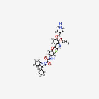 COc1c(OCC2CCNCC2)ccc2c(Oc3ccc(NC(=O)C(=O)NCC(c4ccccc4)c4ccccc4)cc3F)ccnc12